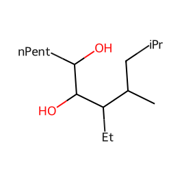 CCCCCC(O)C(O)C(CC)C(C)CC(C)C